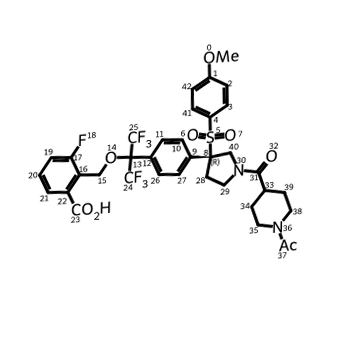 COc1ccc(S(=O)(=O)[C@@]2(c3ccc(C(OCc4c(F)cccc4C(=O)O)(C(F)(F)F)C(F)(F)F)cc3)CCN(C(=O)C3CCN(C(C)=O)CC3)C2)cc1